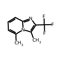 Cc1cccc2nc(C(F)(F)F)c(C)n12